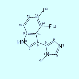 Cn1cncc1-c1c[nH]c2ccc(I)c(F)c12